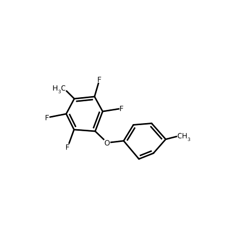 Cc1ccc(Oc2c(F)c(F)c(C)c(F)c2F)cc1